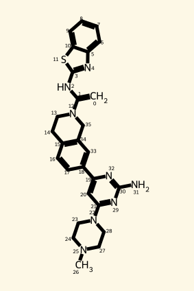 C=C(Nc1nc2ccccc2s1)N1CCc2ccc(-c3cc(N4CCN(C)CC4)nc(N)n3)cc2C1